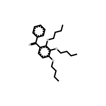 CCCCOc1ccc(C(=O)c2ccccc2)c(OCCCC)c1OCCCC